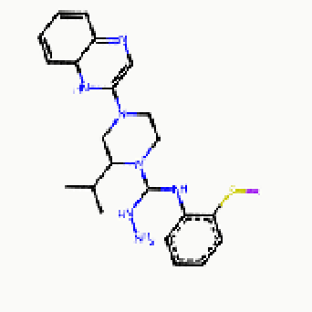 CC(C)C1CN(C2=CN=C3C=CC=CC3N2)CCN1C(NN)Nc1ccccc1SI